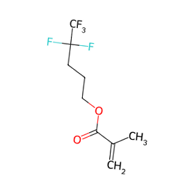 C=C(C)C(=O)OCCCC(F)(F)C(F)(F)F